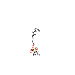 CCCC=CCCCOS(C)(=O)=O